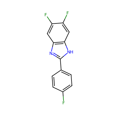 Fc1ccc(-c2nc3cc(F)c(F)cc3[nH]2)cc1